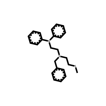 CSCCN(CCN(c1ccccc1)c1ccccc1)Cc1ccccc1